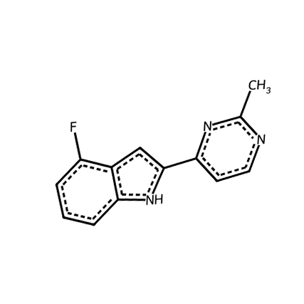 Cc1nccc(-c2cc3c(F)cccc3[nH]2)n1